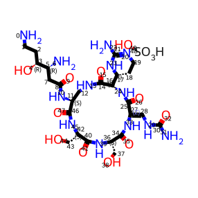 NCC[C@@H](O)[C@H](N)CC(=O)N[C@H]1CNC(=O)[C@H]([C@H]2CCN=C(N)N2)NC(=O)/C(=C/NC(N)=O)NC(=O)[C@H](CO)NC(=O)[C@H](CO)NC1=O.O=S(=O)(O)O